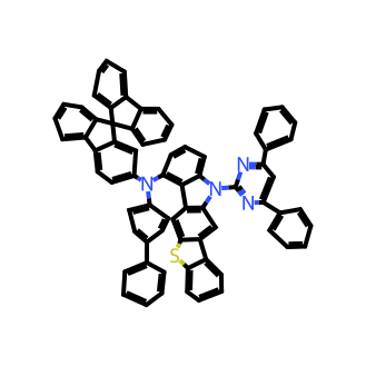 c1ccc(-c2ccc(N(c3ccc4c(c3)C3(c5ccccc5-c5ccccc53)c3ccccc3-4)c3cccc4c3c3cc5sc6ccccc6c5cc3n4-c3nc(-c4ccccc4)cc(-c4ccccc4)n3)cc2)cc1